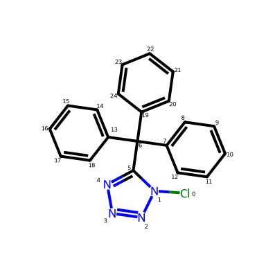 Cln1nnnc1C(c1ccccc1)(c1ccccc1)c1ccccc1